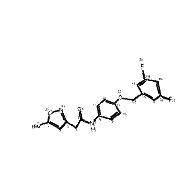 CC(C)(C)c1cc(CC(=O)Nc2ccc(OCc3cc(F)cc(F)c3)cc2)no1